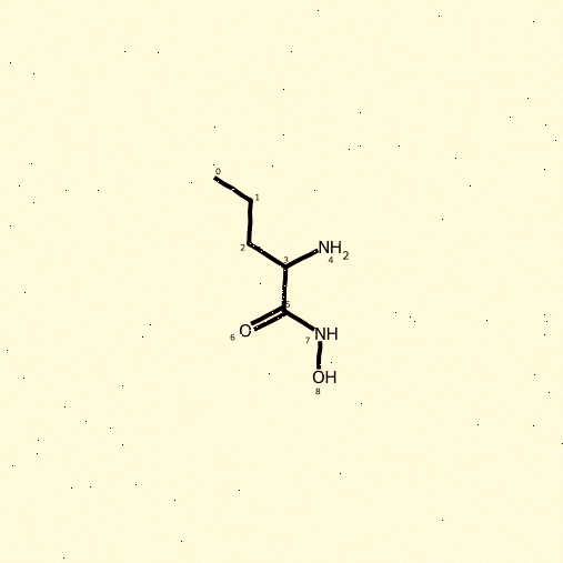 CCCC(N)C(=O)NO